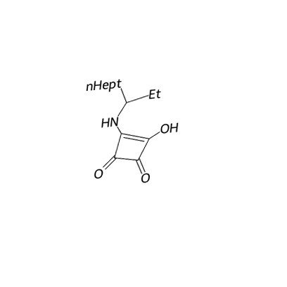 CCCCCCCC(CC)Nc1c(O)c(=O)c1=O